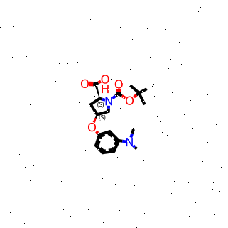 CN(C)c1cccc(O[C@H]2C[C@@H](C(=O)O)N(C(=O)OC(C)(C)C)C2)c1